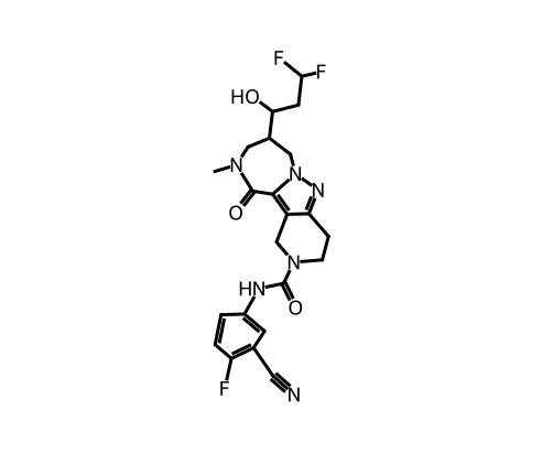 CN1CC(C(O)CC(F)F)Cn2nc3c(c2C1=O)CN(C(=O)Nc1ccc(F)c(C#N)c1)CC3